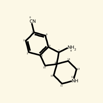 N#Cc1ccc2c(c1)C(N)C1(CCNCC1)C2